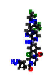 N[C@@H]1CC[C@@H](C(=O)N2CCN(C(=O)c3ccc(Nc4nccn5c(-c6cn(CC(F)F)nc6C(F)(F)F)cnc45)cc3Cl)CC2)C1